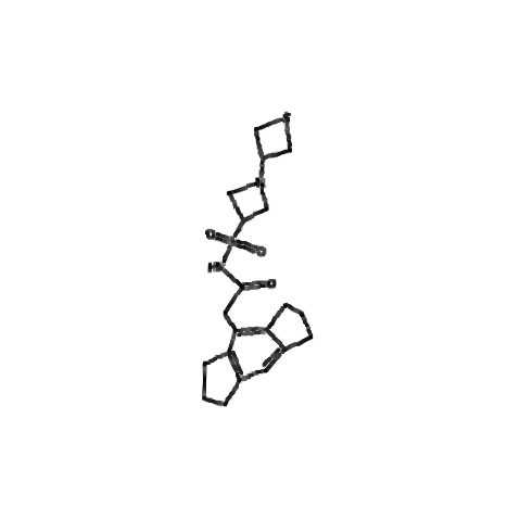 O=C(Cc1c2c(cc3c1CCC3)CCC2)NS(=O)(=O)C1CN(C2CSC2)C1